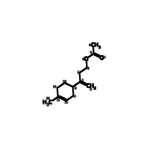 C=C(CCOC(C)=O)C1CC=C(C)CC1